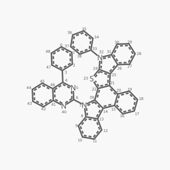 c1ccc(-c2nc(-n3c4ccccc4c4c5ccccc5c5c(sc6c5c5ccccc5n6-c5ccccc5)c43)nc3ccccc23)cc1